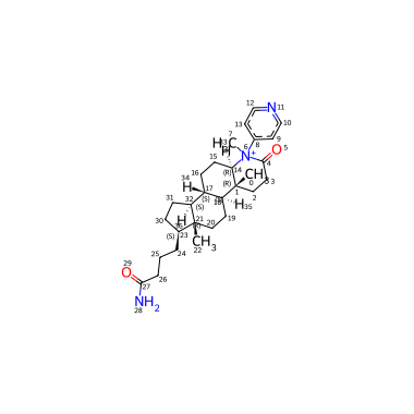 C[C@]12CCC(=O)[N+](C)(c3ccncc3)[C@@H]1CC[C@@H]1[C@@H]2CC[C@]2(C)[C@@H](CCCC(N)=O)CC[C@@H]12